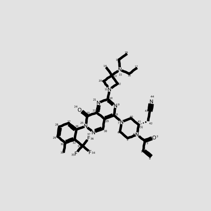 C=CC(=O)N1CCN(c2nc(N3CC(C)(N(CC)CC)C3)nc3c(=O)n(-c4cccc(C)c4C(F)(F)F)ncc23)C[C@@H]1CC#N